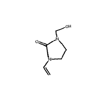 C=CN1CCN(CO)C1=O